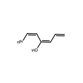 C=C/C=C(O)\C=C/CCC